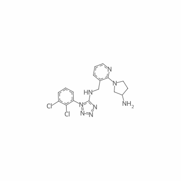 NC1CCN(c2ncccc2CNc2nnnn2-c2cccc(Cl)c2Cl)C1